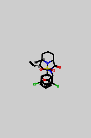 C=C[C@H]1CN(Cc2ccco2)C(=O)C2CCC[C@@H]1N2S(=O)(=O)c1cc(Cl)cc(Cl)c1